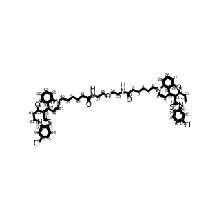 O=C(CCCCCN1C=CC2=C3c4sc5ccc(Cl)cc5[n+]4CCC3Oc3cccc1c32)NCCOCCNC(=O)CCCCCN1C=CC2=C3c4sc5ccc(Cl)cc5[n+]4CCC3Oc3cccc1c32